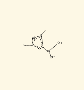 Cn1nc(F)cc1B(O)O